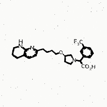 O=C(O)C(c1cccc(C(F)(F)F)c1)N1CC[C@@H](OCCCCc2ccc3c(n2)NCCC3)C1